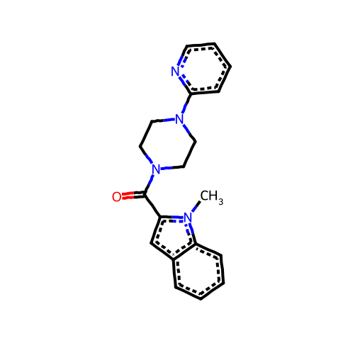 Cn1c(C(=O)N2CCN(c3ccccn3)CC2)cc2ccccc21